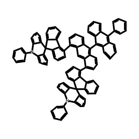 c1ccc(-c2c3ccccc3c(-c3c4cccc(-c5cccc6c5-c5ccccc5C65c6ccccc6N(c6ccccc6)c6ccccc65)c4cc4c(-c5cccc6c5-c5ccccc5C65c6ccccc6N(c6ccccc6)c6ccccc65)cccc34)c3ccccc23)cc1